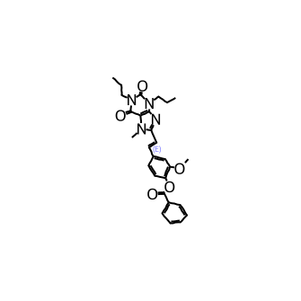 CCCn1c(=O)c2c(nc(/C=C/c3ccc(OC(=O)c4ccccc4)c(OC)c3)n2C)n(CCC)c1=O